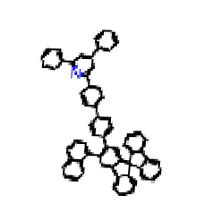 c1ccc(-c2cc(-c3ccccc3)nc(-c3ccc(-c4ccc(-c5cc6c(cc5-c5cccc7ccccc57)-c5ccccc5C65c6ccccc6-c6ccccc65)cc4)cc3)c2)cc1